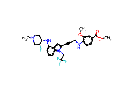 COC(=O)c1ccc(NCC#Cc2cc3c(N[C@@H]4CCN(C)C[C@@H]4F)cccc3n2CC(F)(F)F)c(OC)c1